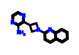 Nc1nccnc1C1CN(c2ccc3ccccc3n2)C1